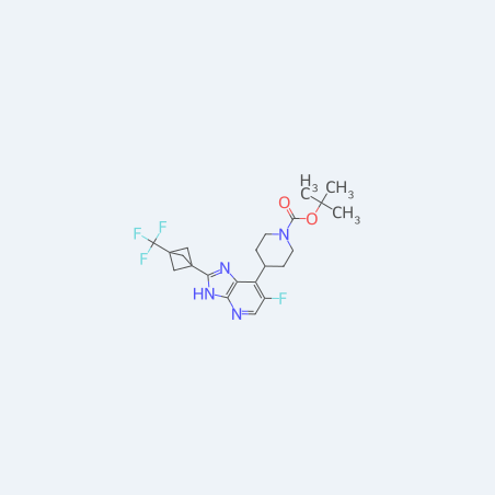 CC(C)(C)OC(=O)N1CCC(c2c(F)cnc3[nH]c(C45CC(C(F)(F)F)(C4)C5)nc23)CC1